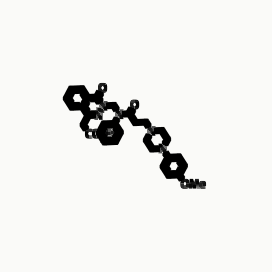 CCOC(=O)Cc1nn(CN(C(=O)CCN2CCN(c3ccc(OC)cc3)CC2)c2ccccc2)c(=O)c2ccccc12